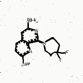 COc1ccc2cc(N)nc(N3CCC(F)(F)CC3)c2n1